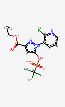 CCOC(=O)c1cc(OS(=O)(=O)C(F)(F)F)n(-c2cccnc2F)n1